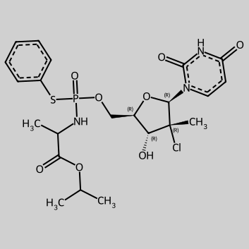 CC(C)OC(=O)C(C)NP(=O)(OC[C@H]1O[C@@H](n2ccc(=O)[nH]c2=O)[C@](C)(Cl)[C@@H]1O)Sc1ccccc1